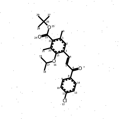 Cc1cc(/C=C/C(=O)c2ccc(Cl)cc2)c(OC(C)C)c(C)c1C(=O)OC(C)(C)C